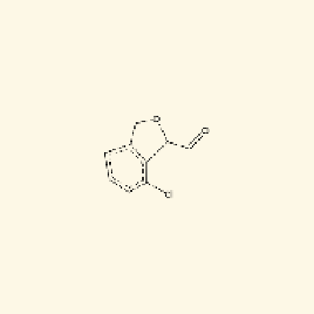 O=CC1OCc2cccc(Cl)c21